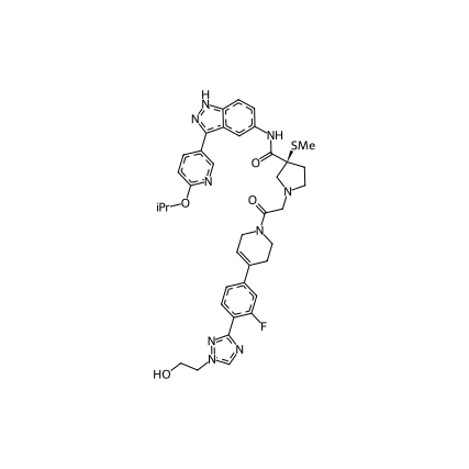 CS[C@@]1(C(=O)Nc2ccc3[nH]nc(-c4ccc(OC(C)C)nc4)c3c2)CCN(CC(=O)N2CC=C(c3ccc(-c4ncn(CCO)n4)c(F)c3)CC2)C1